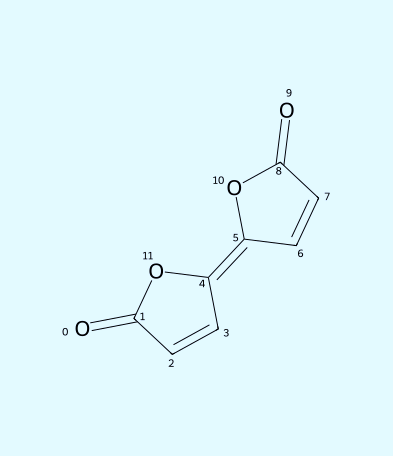 O=C1C=C/C(=C2\C=CC(=O)O2)O1